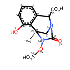 O=C(O)C1c2cccc(O)c2[C@H]2CN1C(=O)N2OS(=O)(=O)O